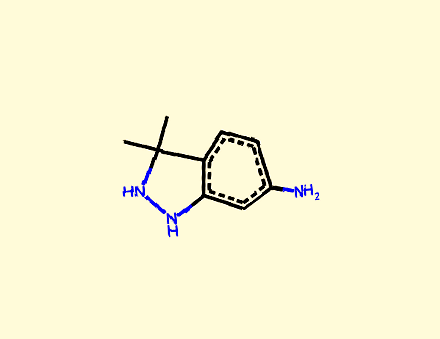 CC1(C)NNc2cc(N)ccc21